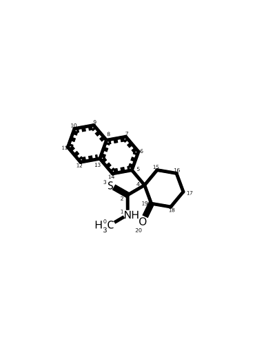 CNC(=S)C1(c2ccc3ccccc3c2)CCCCC1=O